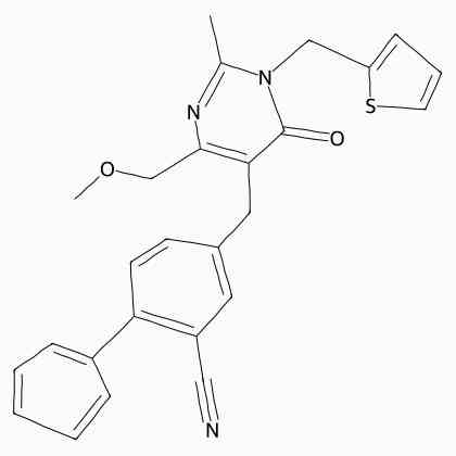 COCc1nc(C)n(Cc2cccs2)c(=O)c1Cc1ccc(-c2ccccc2)c(C#N)c1